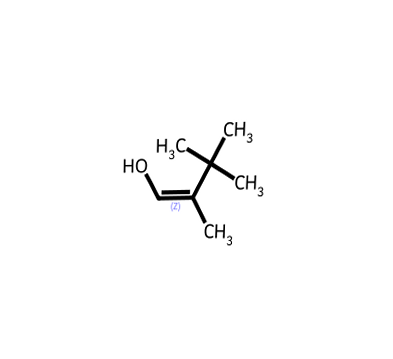 C/C(=C/O)C(C)(C)C